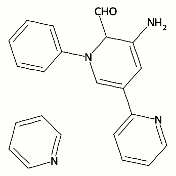 NC1=CC(c2ccccn2)=CN(c2ccccc2)C1C=O.c1ccncc1